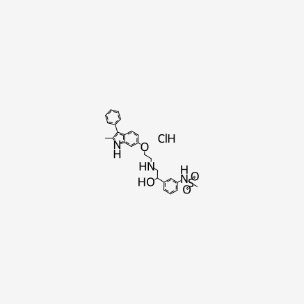 Cc1[nH]c2cc(OCCNCC(O)c3cccc(NS(C)(=O)=O)c3)ccc2c1-c1ccccc1.Cl